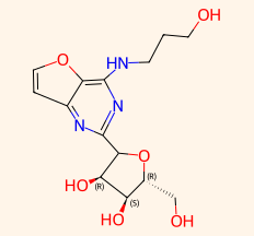 OCCCNc1nc(C2O[C@H](CO)[C@@H](O)[C@H]2O)nc2ccoc12